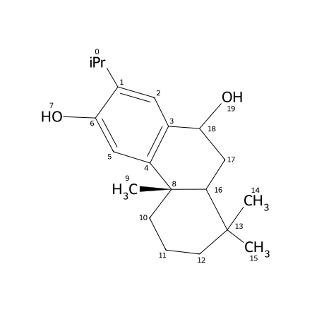 CC(C)c1cc2c(cc1O)[C@@]1(C)CCCC(C)(C)C1CC2O